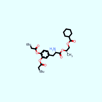 C[C@@H](COC(=O)C1CCCCC1)OC(=O)[C@@H](N)Cc1ccc(OC(=O)CC(C)(C)C)c(OC(=O)CC(C)(C)C)c1